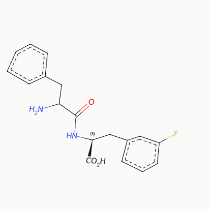 NC(Cc1ccccc1)C(=O)N[C@@H](Cc1cccc(F)c1)C(=O)O